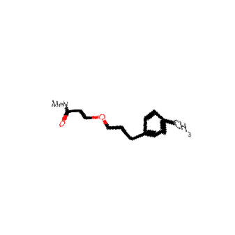 CNC(=O)CCOCCCc1ccc(C)cc1